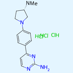 CN[C@H]1CCN(c2ccc(-c3ccnc(N)n3)cc2)C1.Cl.Cl.Cl